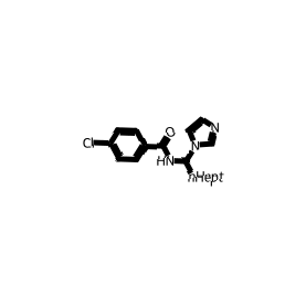 CCCCCCCC(NC(=O)c1ccc(Cl)cc1)n1ccnc1